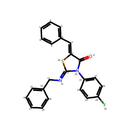 O=C1C(=Cc2ccccc2)SC(=NCc2ccccc2)N1c1ccc(F)cc1